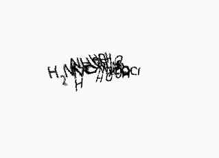 Cl.N=C(N)Nc1ccc(C(=O)NC(=O)CNC(=O)[C@H](CO)NS(=O)(=O)Cc2cccc(Cl)c2)cc1